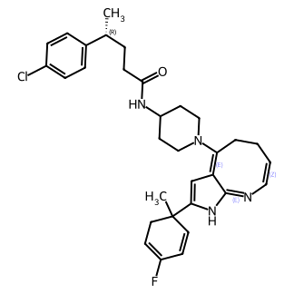 C[C@H](CCC(=O)NC1CCN(\C2=c3/cc(C4(C)C=CC(F)=CC4)[nH]/c3=N/C=C\CC2)CC1)c1ccc(Cl)cc1